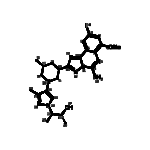 COc1cc(F)cc2c1nc(N)n1nc([C@@H]3C[C@H](C)CN(c4cn([C@H](C)[C@@H](C)O)nc4C)C3)nc21